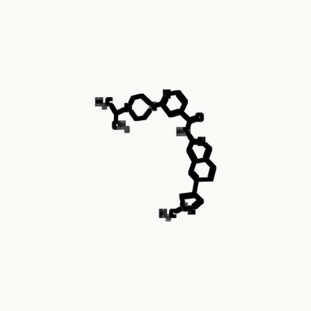 CC(C)N1CCN(c2cc(C(=O)Nc3cc4cc(-c5cnn(C)c5)ccc4cn3)ccn2)CC1